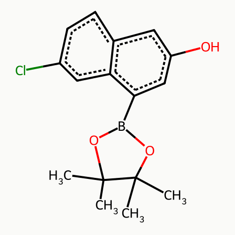 CC1(C)OB(c2cc(O)cc3ccc(Cl)cc23)OC1(C)C